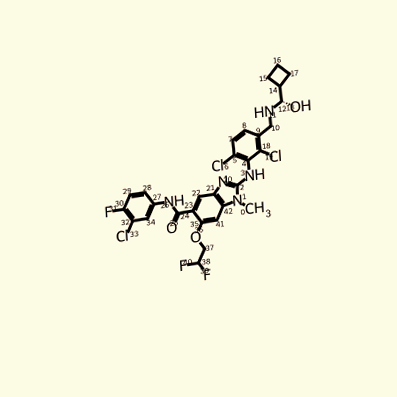 Cn1c(Nc2c(Cl)ccc(CN[C@@H](O)C3CCC3)c2Cl)nc2cc(C(=O)Nc3ccc(F)c(Cl)c3)c(OCC(F)F)cc21